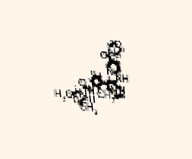 Cc1c(NC(=O)N2CC(C)OC(C)C2)cccc1-c1cc(Nc2ccc(C(=O)N3CCOCC3)cn2)c2nccn2c1